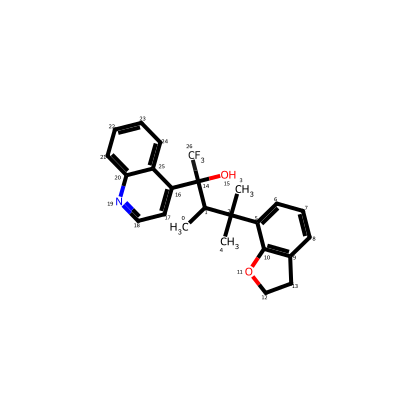 CC(C(C)(C)c1cccc2c1OCC2)C(O)(c1ccnc2ccccc12)C(F)(F)F